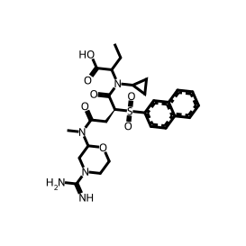 CCC(C(=O)O)N(C(=O)[C@H](CC(=O)N(C)C1CN(C(=N)N)CCO1)S(=O)(=O)c1ccc2ccccc2c1)C1CC1